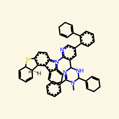 CN1C(c2ccccc2)=NC(c2cc(-c3ccccc3C3=CCCC=C3)cnc2-n2c3c(c4c5c(ccc42)SC2C=CC=C[C@H]52)=CCCC=3)NC1C1=CCCC=C1